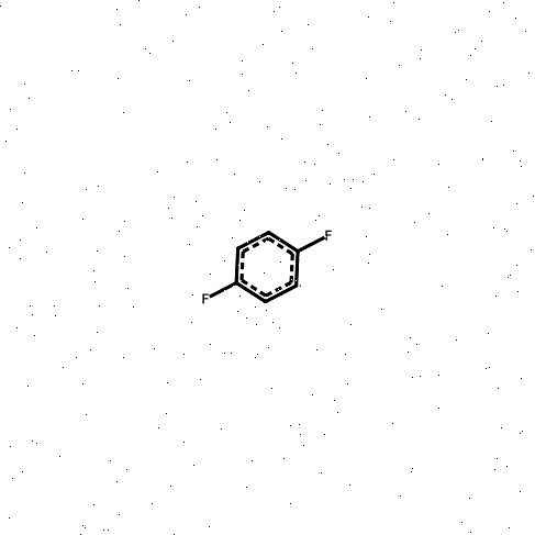 Fc1[c]cc(F)cc1